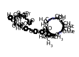 CO[C@H]1/C=C/O[C@@]2(C)Oc3c(C)c(O)c4c(=O)c(c5oc6cc(N7CCN(OCc8ccc(NC(=O)CNC(=O)[C@H](Cc9ccccc9)NC(=O)[C@H](C)NC(=O)[C@H](CC(C)C)NC(=O)CCN9C(=O)C=CC9=O)cc8)CC7)cc(O)c6nc-5c4c3C2=O)NC(=O)/C(C)=C\C=C\[C@H](C)[C@H](O)CC[C@@H](C)[C@H](OC(C)=O)[C@@H]1C